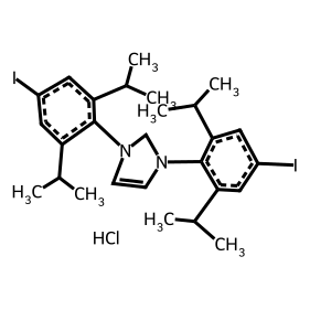 CC(C)c1cc(I)cc(C(C)C)c1N1C=CN(c2c(C(C)C)cc(I)cc2C(C)C)C1.Cl